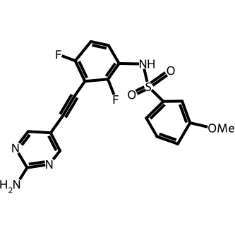 COc1cccc(S(=O)(=O)Nc2ccc(F)c(C#Cc3cnc(N)nc3)c2F)c1